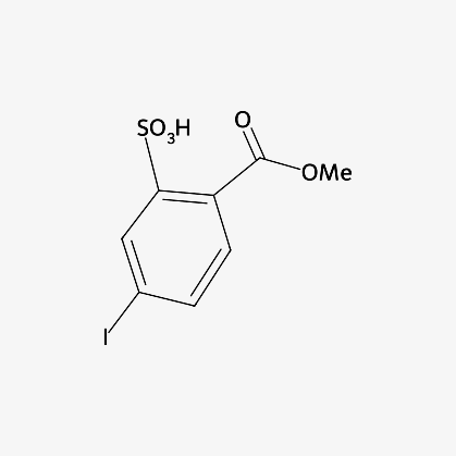 COC(=O)c1ccc(I)cc1S(=O)(=O)O